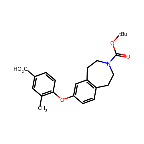 Cc1cc(C(=O)O)ccc1Oc1ccc2c(c1)CCN(C(=O)OC(C)(C)C)CC2